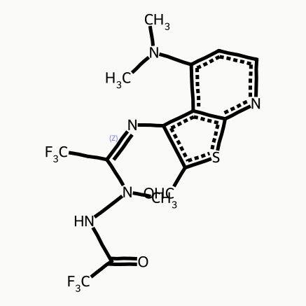 CN(NC(=O)C(F)(F)F)/C(=N\c1c(C=O)sc2nccc(N(C)C)c12)C(F)(F)F